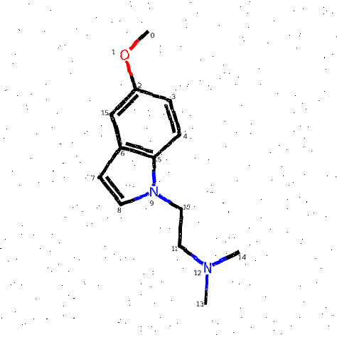 COc1ccc2c(ccn2CCN(C)C)c1